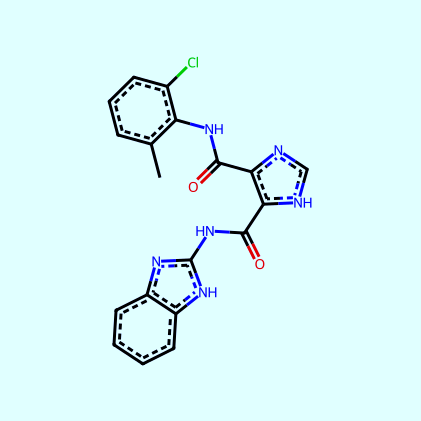 Cc1cccc(Cl)c1NC(=O)c1nc[nH]c1C(=O)Nc1nc2ccccc2[nH]1